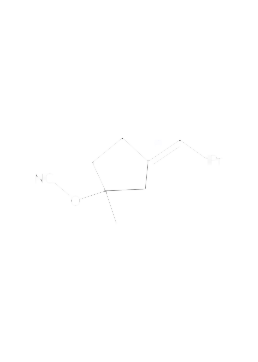 CC(C)/C=C1/CCC(C)(OC#N)C1